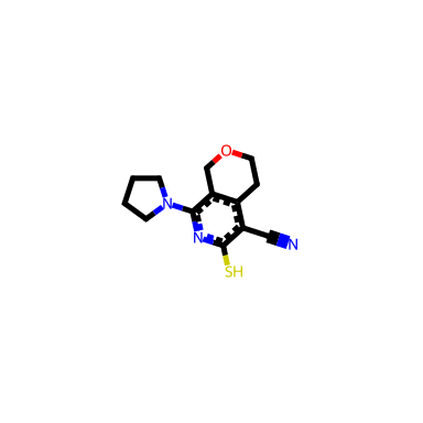 N#Cc1c(S)nc(N2CCCC2)c2c1CCOC2